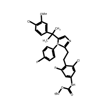 COc1cc(C(C)(C)c2cnc(CCc3c(F)cc(NC(=O)OC(C)(C)C)cc3Cl)n2-c2ccc(F)cc2)ccc1Cl